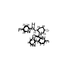 Cc1ccc(-c2ncccn2)c(C(=O)N2C[C@@H](C)CC[C@H]2CNc2ccc(F)cn2)n1